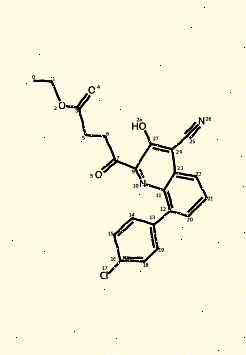 CCOC(=O)CCC(=O)c1nc2c(-c3ccc(Cl)cc3)cccc2c(C#N)c1O